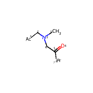 CC(=O)CN(C)CC(=O)C(C)C